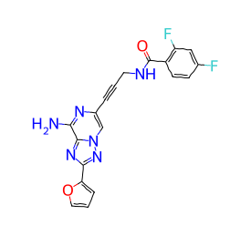 Nc1nc(C#CCNC(=O)c2ccc(F)cc2F)cn2nc(-c3ccco3)nc12